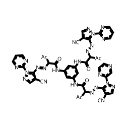 [C-]#[N+]c1cnn(-c2cnccn2)c1N=NC(C(C)=O)C(=O)Nc1cc(NC(=O)C(N=Nc2c(C#N)cnn2-c2ncccn2)C(C)=O)cc(NC(=O)C(N=Nc2c(C#N)cnn2-c2ncccn2)C(C)=O)c1